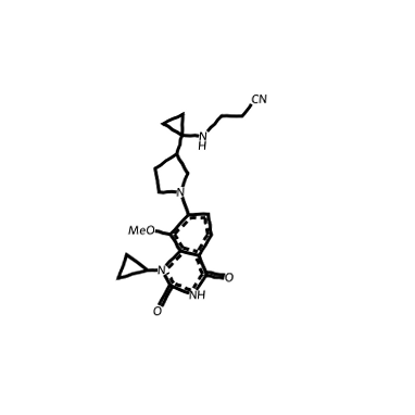 COc1c(N2CCC(C3(NCCC#N)CC3)C2)ccc2c(=O)[nH]c(=O)n(C3CC3)c12